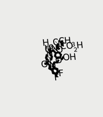 C[C@@H](C(=O)N[C@H](C(=O)N1CCN(C(=O)c2cc3cc(F)c(F)cc3n2CCOCCO)CC1)C1CCCCC1)N(C)C(=O)O